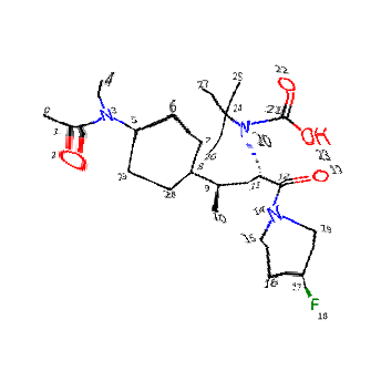 CC(=O)N(C)C1CCC([C@H](C)[C@@H](C(=O)N2CC[C@H](F)C2)N(C(=O)O)C(C)(C)C)CC1